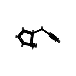 N#CCc1ccc[nH]1